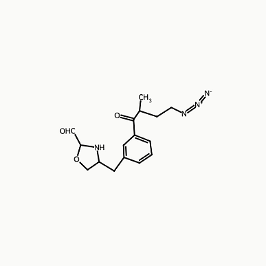 CC(CCN=[N+]=[N-])C(=O)c1cccc(CC2COC(C=O)N2)c1